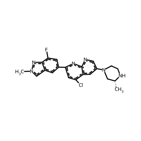 C[C@@H]1CN(c2cnc3nc(-c4cc(F)c5nn(C)cc5c4)cc(Cl)c3c2)CCN1